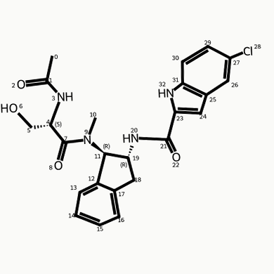 CC(=O)N[C@@H](CO)C(=O)N(C)[C@@H]1c2ccccc2C[C@H]1NC(=O)c1cc2cc(Cl)ccc2[nH]1